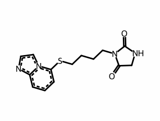 O=C1CNC(=O)N1CCCCSc1cccc2nccn12